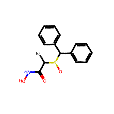 CCC(C(=O)NO)[S+]([O-])C(c1ccccc1)c1ccccc1